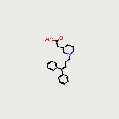 O=C(O)CC1CCCN(CCC=C(c2ccccc2)c2ccccc2)C1